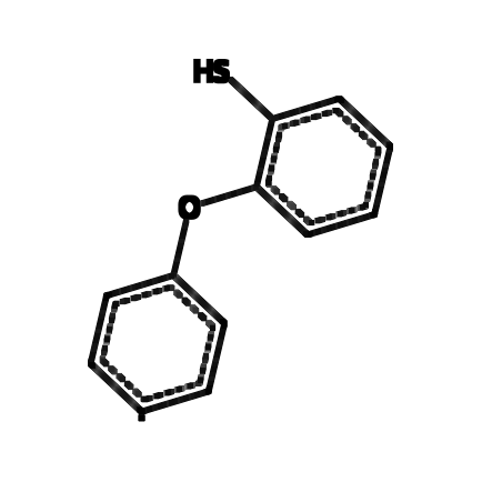 Sc1ccccc1Oc1cc[c]cc1